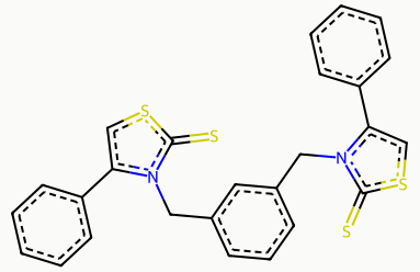 S=c1scc(-c2ccccc2)n1Cc1cccc(Cn2c(-c3ccccc3)csc2=S)c1